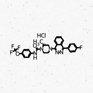 C[C@H]1CN(c2nnc(-c3ccc(F)cc3)c3ccccc23)CCN1C(=O)Nc1ccc(OC(F)(F)F)cc1.Cl